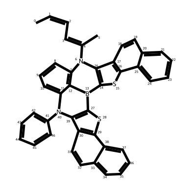 C/C=C\C=C(/C)N1c2cccc3c2B(c2sc4c(ccc5ccccc54)c21)c1sc2c(ccc4ccccc42)c1N3c1ccccc1